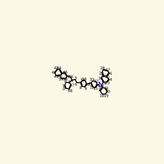 C1=CCC(C(CCC2=CC=C(C3=CC=C(N(C4=CCCC=C4)c4ccc5ccccc5c4)CC3)CC2)Cc2ccc3ccccc3c2)C=C1